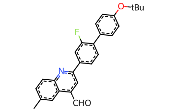 Cc1ccc2nc(-c3ccc(-c4ccc(OC(C)(C)C)cc4)c(F)c3)cc(C=O)c2c1